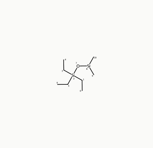 CC[Si](CC)(CC)O[Si](C)C